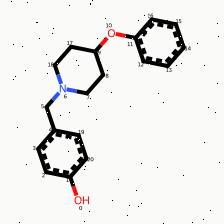 Oc1ccc(CN2CCC(Oc3ccccc3)CC2)cc1